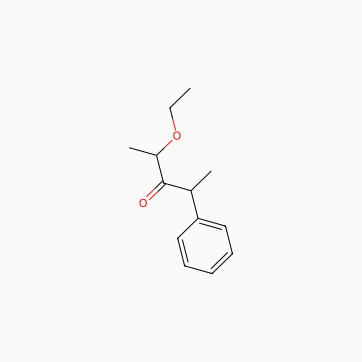 CCOC(C)C(=O)C(C)c1ccccc1